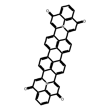 O=c1cc2c3ccc4c5ccc6c7c(ccc(c8ccc(c3c48)c3cc(=O)c4cccc1c4n23)c57)c1cc(=O)c2cccc3c(=O)cc6n1c32